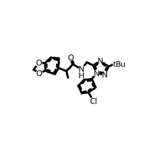 CC(C(=O)NCc1nc(C(C)(C)C)nn1-c1cccc(Cl)c1)c1ccc2c(c1)OCO2